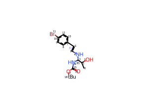 CC(O)[C@H](N/C=C/c1ccc(Br)cc1)NC(=O)OC(C)(C)C